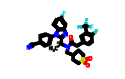 C[C@H](c1nc2cc(F)ccc2n1-c1ccc(C#N)cc1)N(CC1CCS(=O)(=O)CC1)C(=O)Cc1ccc(F)c(C(F)(F)F)c1